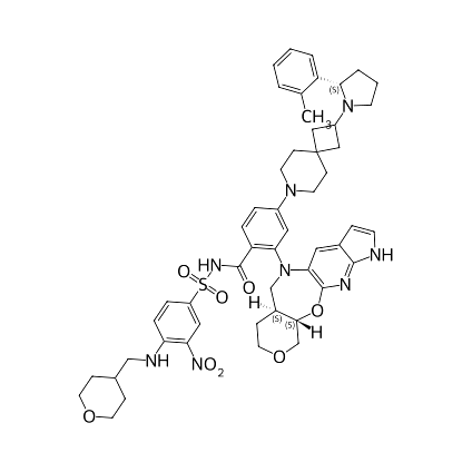 Cc1ccccc1[C@@H]1CCCN1C1CC2(CCN(c3ccc(C(=O)NS(=O)(=O)c4ccc(NCC5CCOCC5)c([N+](=O)[O-])c4)c(N4C[C@@H]5CCOC[C@H]5Oc5nc6[nH]ccc6cc54)c3)CC2)C1